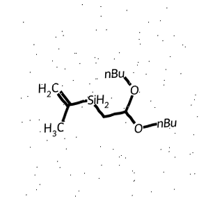 C=C(C)[SiH2]CC(OCCCC)OCCCC